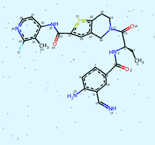 CC[C@@H](NC(=O)c1ccc(N)c(C=N)c1)C(=O)N1CCc2sc(C(=O)Nc3ccnc(F)c3C)cc2C1